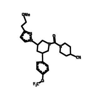 COCCc1ccn(C2CC(c3ccc(OC(F)(F)F)cc3)CN(C(=O)N3CCC(C#N)CC3)C2)n1